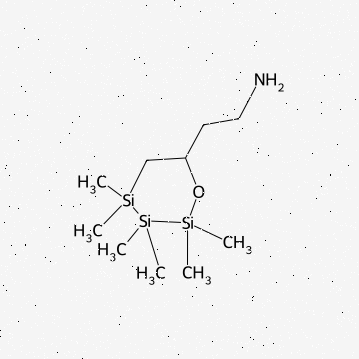 C[Si]1(C)CC(CCN)O[Si](C)(C)[Si]1(C)C